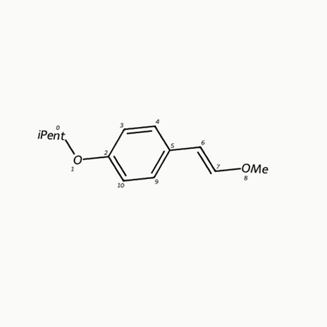 CCCC(C)Oc1ccc(C=COC)cc1